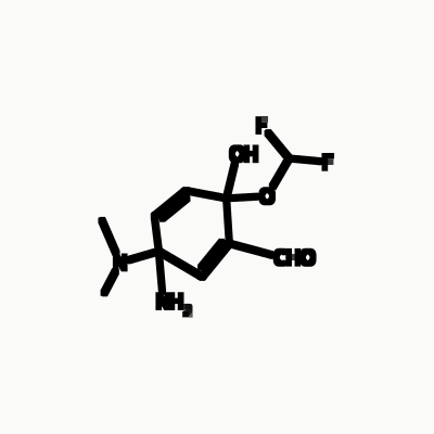 CN(C)C1(N)C=CC(O)(OC(F)F)C(C=O)=C1